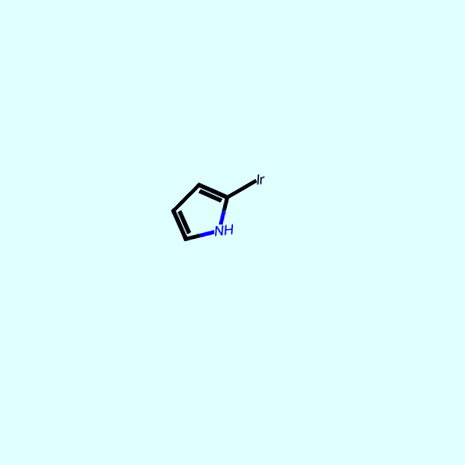 [Ir][c]1ccc[nH]1